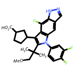 COCC(C)(C)c1c(C2CCC(C(=O)O)C2)c2c(F)c3[nH]ncc3cc2n1-c1ccc(F)c(F)c1